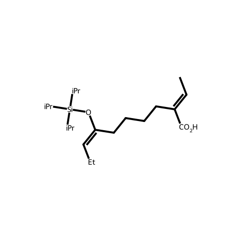 C/C=C(\CCCC/C(=C\CC)O[Si](C(C)C)(C(C)C)C(C)C)C(=O)O